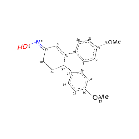 COc1ccc(C2=C/C(=N/O)CCC2c2ccc(OC)cc2)cc1